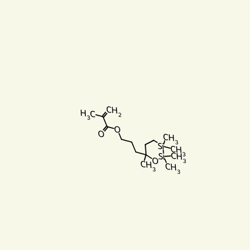 C=C(C)C(=O)OCCCC1(C)CC[Si](C)(C)[Si](C)(C)O1